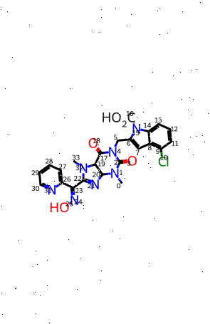 CN1C(=O)N(Cc2cc3c(Cl)cccc3n2C(=O)O)C(=O)C2C1N=C(C(=NO)c1ccccn1)N2C